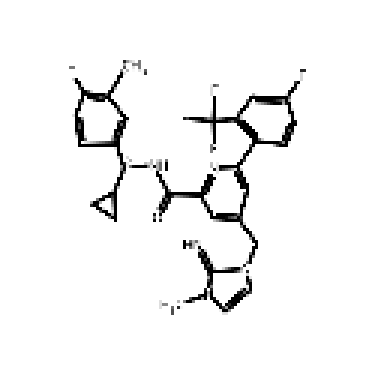 Cc1cc([C@@H](NC(=O)c2cc(Cn3ccn(C)c3=N)cc(-c3ccc(F)cc3C(F)(F)F)n2)C2CC2)ccc1F